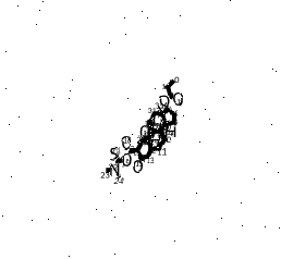 CCC(=O)O[C@@H]1CC[C@H]2[C@@H]3CCC4=CC(=O)C(C(=O)OC(=S)N(C)C)=C[C@]4(C)[C@@]34O[C@H]4C[C@]12C